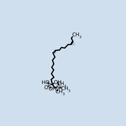 CC/C=C\CCCC/C=C\CCCCCCCCC(O)(C[N+](C)(C)C)P(=O)(O)O